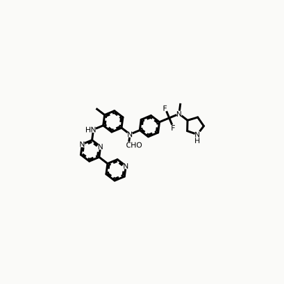 Cc1ccc(N(C=O)c2ccc(C(F)(F)N(C)C3CCNC3)cc2)cc1Nc1nccc(-c2cccnc2)n1